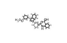 COc1cccc(-c2nc([C@@H]3CCCN(C(=O)Nc4ccccc4CO)C3)n3ccccc23)c1